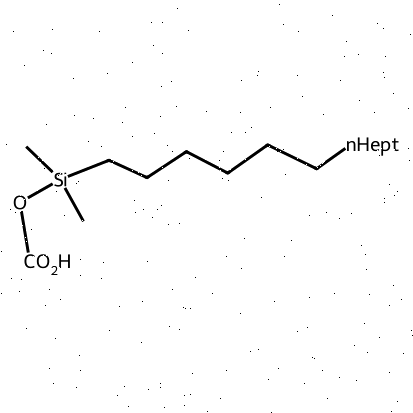 CCCCCCCCCCCCC[Si](C)(C)OC(=O)O